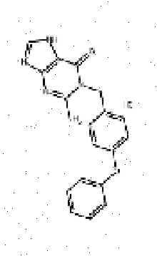 Cl.Nc1nc2nc[nH]c2c(=O)n1Cc1ccc(Oc2ccccc2)cc1